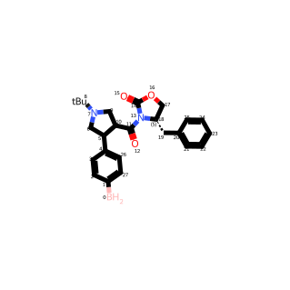 Bc1ccc(C2CN(C(C)(C)C)CC2C(=O)N2C(=O)OC[C@@H]2CC2=C=C=CC=C2)cc1